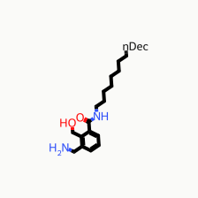 CCCCCCCCCCCCCCCCCCNC(=O)c1cccc(CN)c1CO